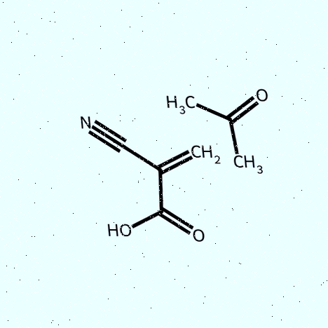 C=C(C#N)C(=O)O.CC(C)=O